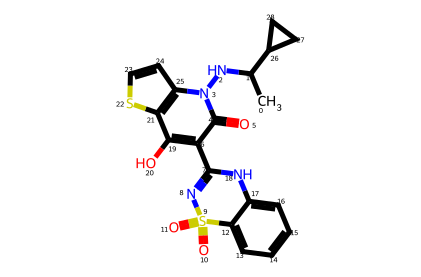 CC(Nn1c(=O)c(C2=NS(=O)(=O)c3ccccc3N2)c(O)c2sccc21)C1CC1